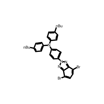 CCCCc1ccc(N(c2ccc(CCCC)cc2)c2ccc(-n3nc4c(Br)ccc(Br)c4n3)cc2)cc1